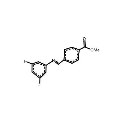 COC(=O)c1ccc(C=Nc2cc(F)cc(F)c2)cc1